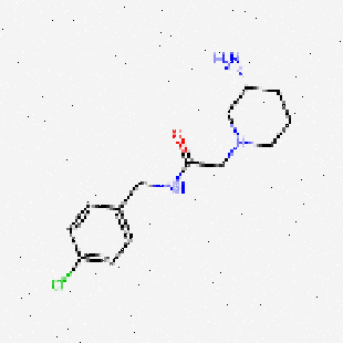 N[C@@H]1CCCN(CC(=O)NCc2ccc(Cl)cc2)C1